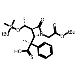 C[C@@H](O[Si](C)(C)C(C)(C)C)[C@H]1C(=O)N(CC(=O)OC(C)(C)C)[C@@H]1[C@](C)(C(O)=S)c1ccccc1